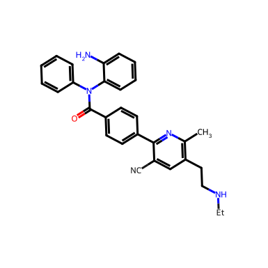 CCNCCc1cc(C#N)c(-c2ccc(C(=O)N(c3ccccc3)c3ccccc3N)cc2)nc1C